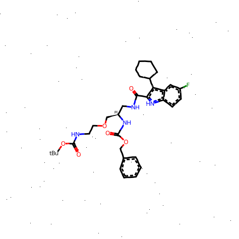 CC(C)(C)OC(=O)NCCOC[C@@H](CNC(=O)c1[nH]c2ccc(F)cc2c1C1CCCCC1)NC(=O)OCc1ccccc1